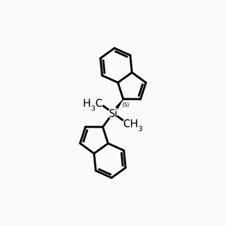 C[Si](C)(C1C=CC2C=CC=CC21)[C@@H]1C=CC2C=CC=CC21